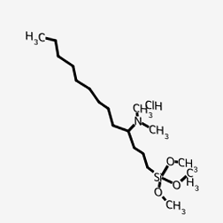 CCCCCCCCCC(CCC[Si](OC)(OC)OC)N(C)C.Cl